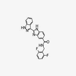 O=C(NCc1c(F)cccc1F)c1ccc2[nH]c(-c3n[nH]c4ccccc34)nc2c1